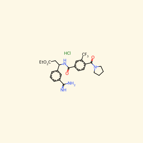 CCOC(=O)CC(NC(=O)c1ccc(C(=O)N2CCCC2)c(C(F)(F)F)c1)c1cccc(C(=N)N)c1.Cl